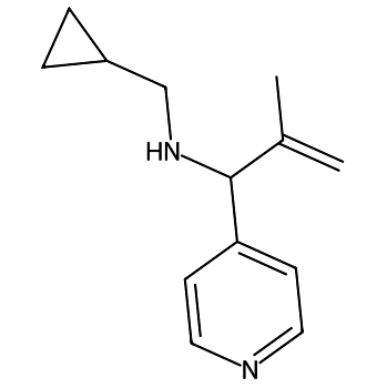 C=C(C)C(NCC1CC1)c1ccncc1